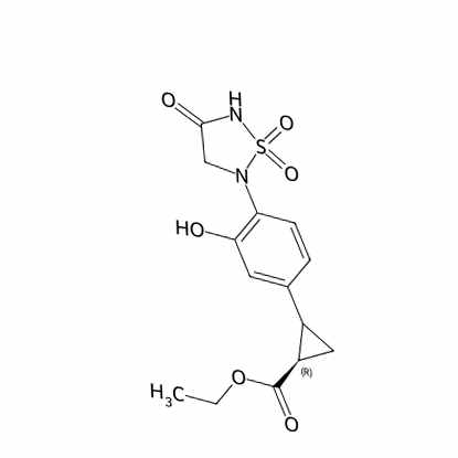 CCOC(=O)[C@@H]1CC1c1ccc(N2CC(=O)NS2(=O)=O)c(O)c1